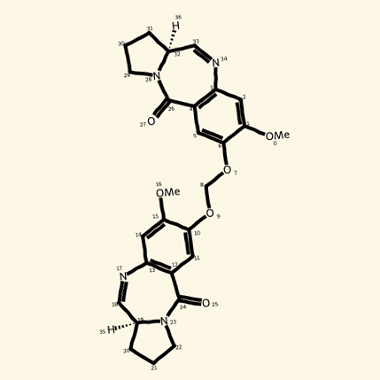 COc1cc2c(cc1OCOc1cc3c(cc1OC)N=C[C@@H]1CCCN1C3=O)C(=O)N1CCC[C@H]1C=N2